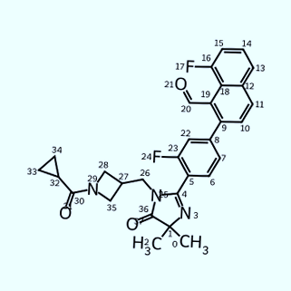 CC1(C)N=C(c2ccc(-c3ccc4cccc(F)c4c3C=O)cc2F)N(CC2CN(C(=O)C3CC3)C2)C1=O